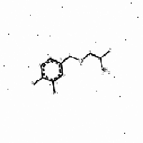 Cc1ccc(COC[C@@H](C)N)cc1C